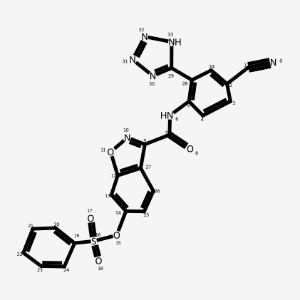 N#Cc1ccc(NC(=O)c2noc3cc(OS(=O)(=O)c4ccccc4)ccc23)c(-c2nnn[nH]2)c1